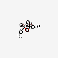 CCOc1ccc(C(C)(CC(C)F)C(OC(c2ccccc2)(c2ccccc2)C(C)(CC(C)F)c2ccc(OCC)cc2)(c2ccccc2)c2ccccc2)cc1